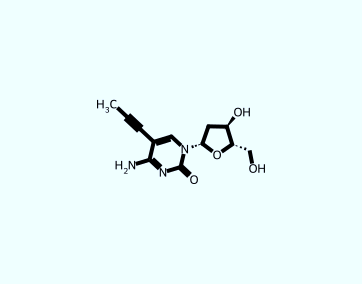 CC#Cc1cn([C@@H]2C[C@@H](O)[C@H](CO)O2)c(=O)nc1N